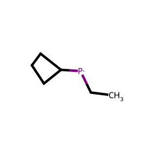 CC[P]C1CCC1